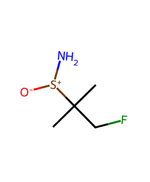 CC(C)(CF)[S+](N)[O-]